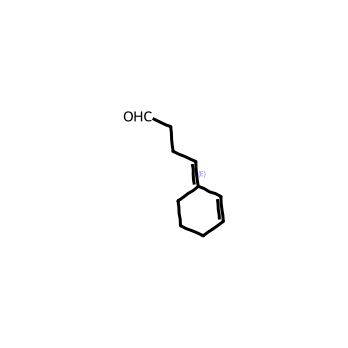 O=CCC/C=C1/C=CCCC1